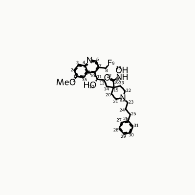 COc1ccc2ncc(CF)c([C@H](O)CCC3(C(=O)NO)CCN(CCCc4ccccc4)CC3)c2c1